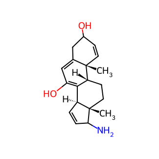 C[C@]12C=CC(O)CC1=CC(O)=C1[C@H]2CC[C@]2(C)C(N)C=C[C@@H]12